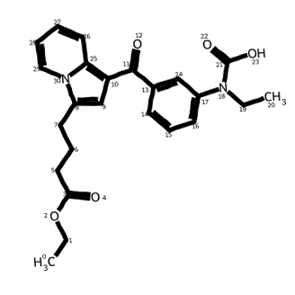 CCOC(=O)CCCc1cc(C(=O)c2cccc(N(CC)C(=O)O)c2)c2ccccn12